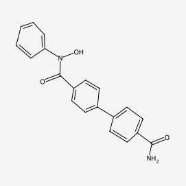 NC(=O)c1ccc(-c2ccc(C(=O)N(O)c3ccccc3)cc2)cc1